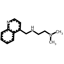 CN(C)CCNCc1ccnc2ccccc12